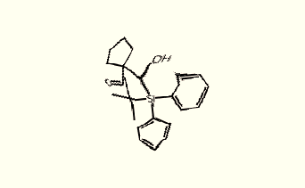 CC(C)(C)[Si](c1ccccc1)(c1ccccc1)C(O)C1(C=O)CCCC1